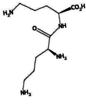 NCCC[C@H](NC(=O)[C@@H](N)CCCN)C(=O)O